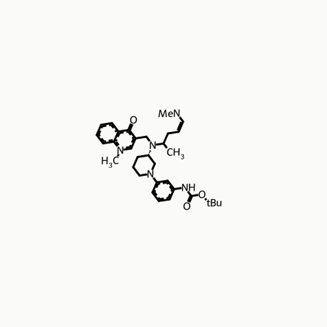 CN/C=C\CC(C)N(Cc1cn(C)c2ccccc2c1=O)[C@H]1CCCN(c2cccc(NC(=O)OC(C)(C)C)c2)C1